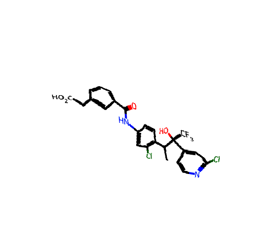 CC(c1ccc(NC(=O)c2cccc(CC(=O)O)c2)cc1Cl)C(O)(c1ccnc(Cl)c1)C(F)(F)F